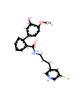 COc1ccc(-c2ccccc2C(=O)NCCCc2cncc(F)c2)cc1I